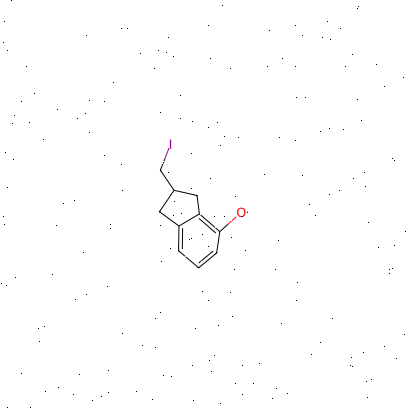 [O]c1cccc2c1CC(CI)C2